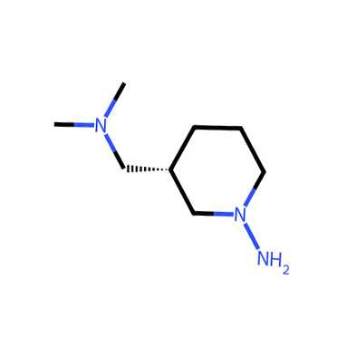 CN(C)C[C@@H]1CCCN(N)C1